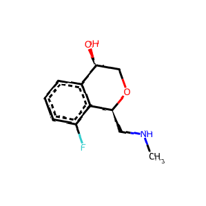 CNC[C@@H]1OC[C@H](O)c2cccc(F)c21